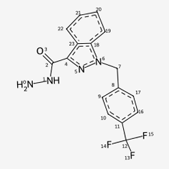 NNC(=O)c1nn(Cc2ccc(C(F)(F)F)cc2)c2ccccc12